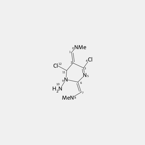 CNC=C1C(Cl)=NC(=CNC)N(N)C1Cl